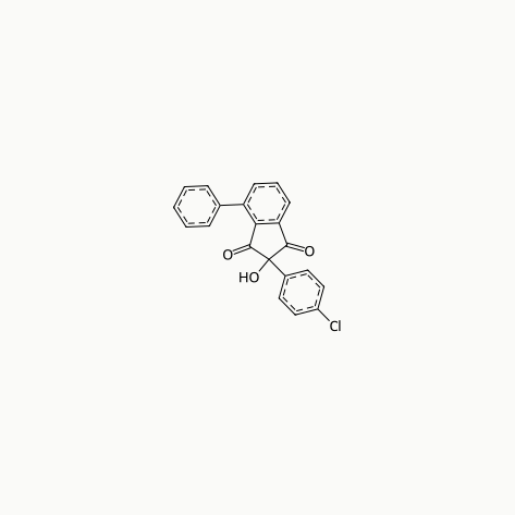 O=C1c2cccc(-c3ccccc3)c2C(=O)C1(O)c1ccc(Cl)cc1